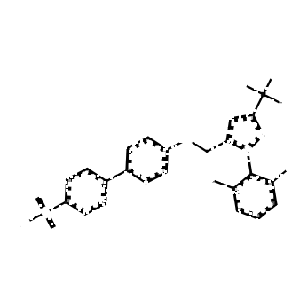 CS(=O)(=O)c1ccc(-c2ccc(OCc3cc(C(F)(F)F)nn3-c3c(Cl)cccc3Cl)cc2)cc1